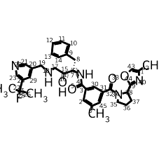 Cc1cc(C(=O)N[C@@H](Cc2ccccc2)[C@H](O)CNCc2cncc(C(C)(C)F)c2)cc(C(=O)N2CCCC2c2nc(C)co2)c1